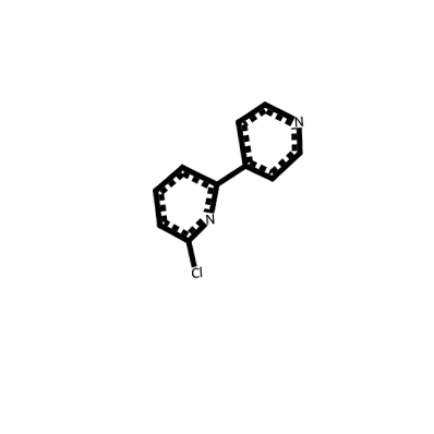 Clc1cc[c]c(-c2ccncc2)n1